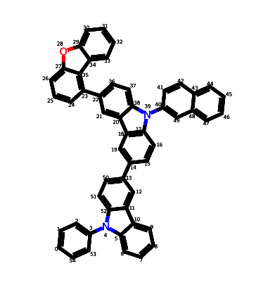 c1ccc(-n2c3ccccc3c3cc(-c4ccc5c(c4)c4cc(-c6cccc7oc8ccccc8c67)ccc4n5-c4ccc5ccccc5c4)ccc32)cc1